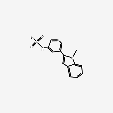 CCS(=O)(=O)Nc1cncc(-c2cc3ccccc3n2C)c1